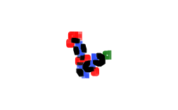 O=C(O)CN1CCN(C(=O)OC2c3nccnc3C(=O)N2c2ccc(Cl)cn2)CC1